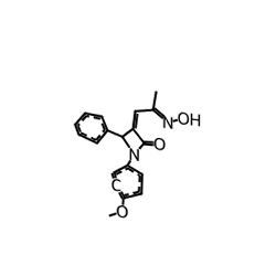 COc1ccc(N2C(=O)C(=CC(C)=NO)C2c2ccccc2)cc1